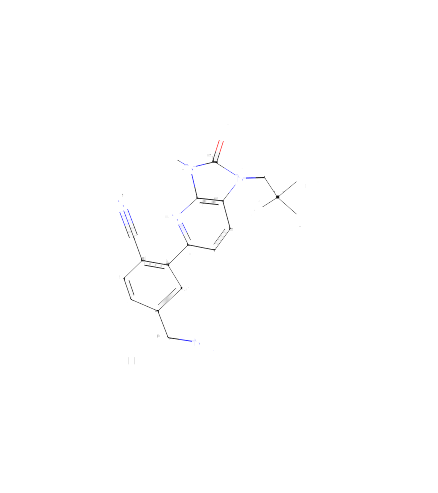 C[C@@H](N)c1ccc(C#N)c(-c2ccc3c(n2)n(C)c(=O)n3CC(C)(C)C)c1